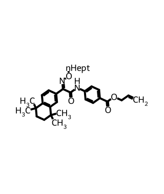 C=CCOC(=O)c1ccc(NC(=O)C(=NOCCCCCCC)c2ccc3c(c2)C(C)(C)CCC3(C)C)cc1